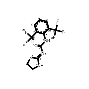 O=C(N=C1NCCS1)Nc1c(C(F)(F)F)cccc1C(F)(F)F